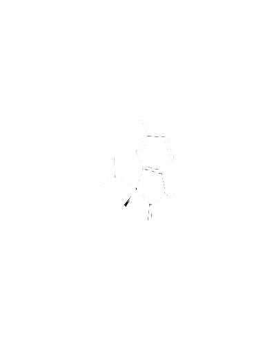 CC(C)[C@@]1(C)C(=O)Nc2ccc(F)cc21